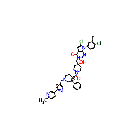 Cc1ccc(-c2ncc(CN3CC[C@@H](C(=O)N4CCC(O)(Cn5cnc6c(cc(Cl)n6-c6ccc(Cl)c(F)c6)c5=O)CC4)[C@H](c4ccccc4)C3)s2)cn1